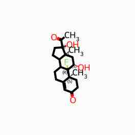 CC(=O)[C@@]1(O)CCC2C3CCC4=CC(=O)CC[C@]4(C)[C@@]3(F)[C@@H](O)C[C@@]21C